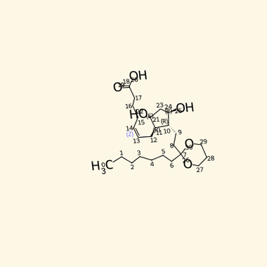 CCCCCCCC1(CC[C@@H]2[C@@H](C/C=C\CCCC(=O)O)[C@@H](O)C[C@H]2O)OCCCO1